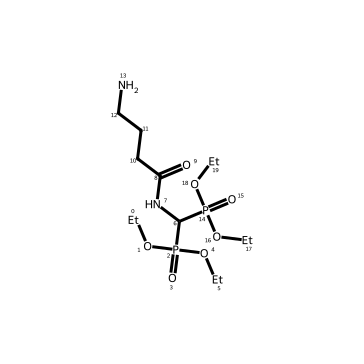 CCOP(=O)(OCC)C(NC(=O)CCCN)P(=O)(OCC)OCC